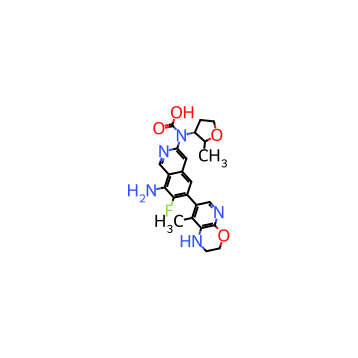 Cc1c(-c2cc3cc(N(C(=O)O)[C@H]4CCOC4C)ncc3c(N)c2F)cnc2c1NCCO2